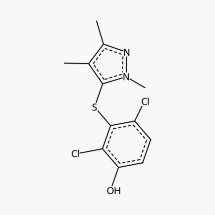 Cc1nn(C)c(Sc2c(Cl)ccc(O)c2Cl)c1C